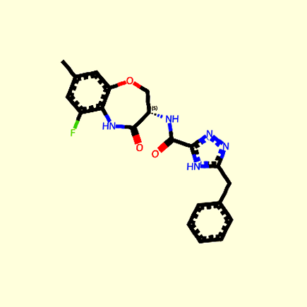 Cc1cc(F)c2c(c1)OC[C@H](NC(=O)c1nnc(Cc3ccccc3)[nH]1)C(=O)N2